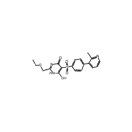 CCOCc1nc(=O)c(S(=O)(=O)c2ccc(-c3cccnc3C)cc2)c(O)[nH]1